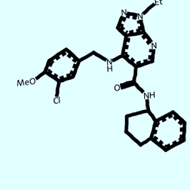 CCn1ncc2c(NCc3ccc(OC)c(Cl)c3)c(C(=O)NC3CCCc4ccccc43)cnc21